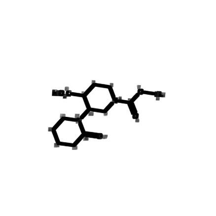 CCOC(=O)C1CCN(C(=O)OC(C)(C)C)CC1N1CCCCC1=O